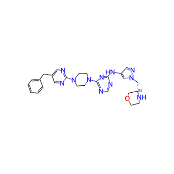 c1ccc(Cc2cnc(N3CCN(c4ncnc(Nc5cnn(C[C@H]6COCCN6)c5)n4)CC3)nc2)cc1